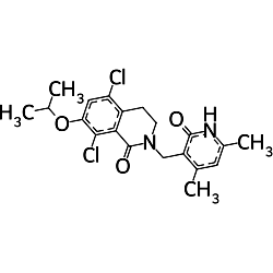 Cc1cc(C)c(CN2CCc3c(Cl)cc(OC(C)C)c(Cl)c3C2=O)c(=O)[nH]1